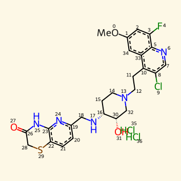 COc1cc(F)c2ncc(Cl)c(CCN3CC[C@@H](NCc4ccc5c(n4)NC(=O)CS5)[C@@H](O)C3)c2c1.Cl.Cl